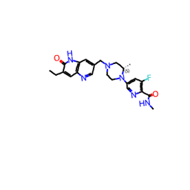 CCc1cc2ncc(CN3CCN(c4cnc(C(=O)NC)c(F)c4)[C@@H](C)C3)cc2[nH]c1=O